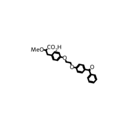 COC(Cc1ccc(OCCOc2ccc(C(=O)c3ccccc3)cc2)cc1)C(=O)O